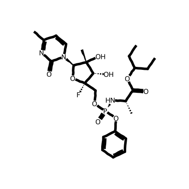 CCC(CC)OC(=O)[C@H](C)N[P@](=O)(OC[C@@]1(F)O[C@@H](n2ccc(C)nc2=O)[C@](C)(O)[C@@H]1O)Oc1ccccc1